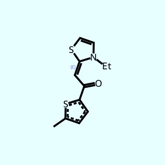 CCN1C=CS/C1=C/C(=O)c1ccc(C)s1